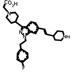 O=C(O)CN1CCC(c2nn(CCc3ccc(F)cc3)c3cc(C=CC4CCNCC4)ccc23)CC1